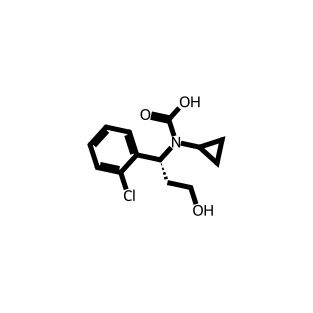 O=C(O)N(C1CC1)[C@H](CCO)c1ccccc1Cl